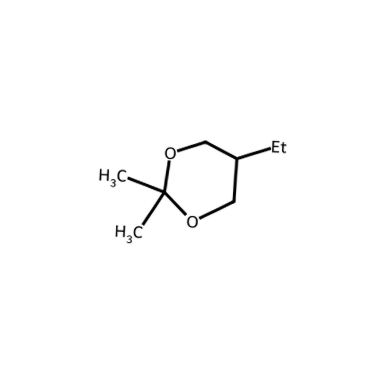 CCC1COC(C)(C)OC1